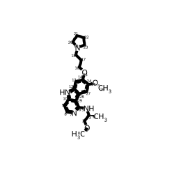 COC[C@H](C)Nc1nccc2[nH]c3cc(OCCCN4CCCC4)c(OC)cc3c12